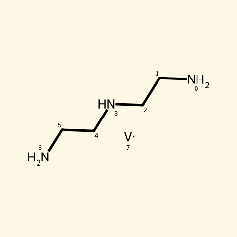 NCCNCCN.[V]